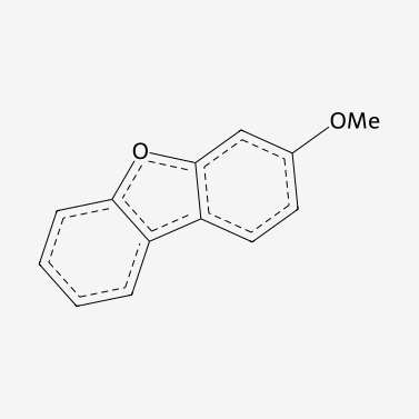 COc1ccc2c(c1)oc1ccccc12